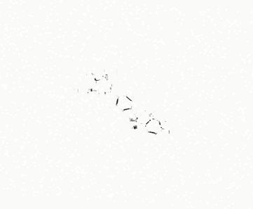 CN(CC(O)c1ccc(OS(=O)(=O)c2ccc(Br)cc2C(F)(F)F)cc1)C(=O)OC(C)(C)C